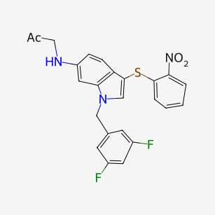 CC(=O)CNc1ccc2c(Sc3ccccc3[N+](=O)[O-])cn(Cc3cc(F)cc(F)c3)c2c1